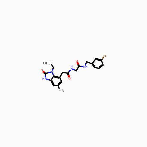 CCOC(=O)Cn1c(=O)[nH]c2cc(C)cc(CC(=O)NCC(=O)NCc3cccc(Br)c3)c21